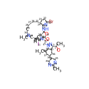 CC(=O)c1nn(CC(=O)N2[C@H](I)[C@@H]3C[C@H]2C(=O)Nc2nc(Br)ccc2CCCCCCN(C)C3)c2c(C)cc(-c3cnc(C)nc3)cc12